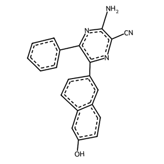 N#Cc1nc(-c2ccc3cc(O)ccc3c2)c(-c2ccccc2)nc1N